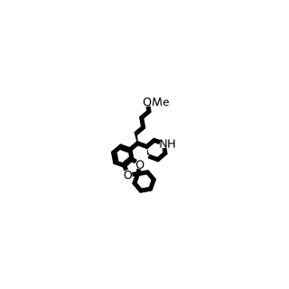 COCCCC[C@H](c1cccc2c1OC1(CCCCC1)O2)[C@H]1CCCNC1